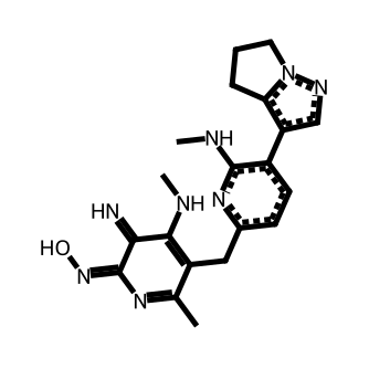 CNC1=C(Cc2ccc(-c3cnn4c3CCC4)c(NC)n2)C(C)=N/C(=N/O)C1=N